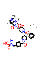 Cn1ccc2c(=O)n(CC3(O)CCN(C(=O)[C@@H]4CCN(C(=O)c5ccc(CNC(=O)O)cc5)C[C@H]4c4ccccc4)CC3)cnc21